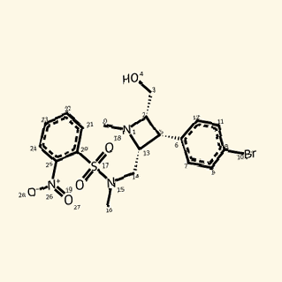 CN1[C@H](CO)[C@H](c2ccc(Br)cc2)[C@@H]1CN(C)S(=O)(=O)c1ccccc1[N+](=O)[O-]